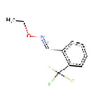 CCO/N=[C]/c1ccccc1C(F)(F)F